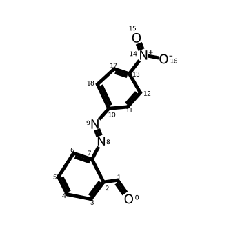 O=[C]c1ccccc1N=Nc1ccc([N+](=O)[O-])cc1